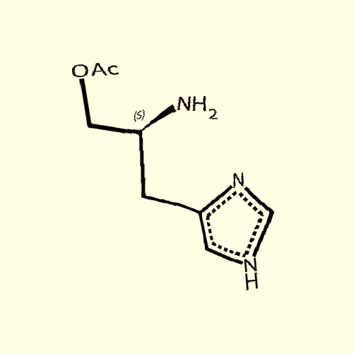 CC(=O)OC[C@@H](N)Cc1c[nH]cn1